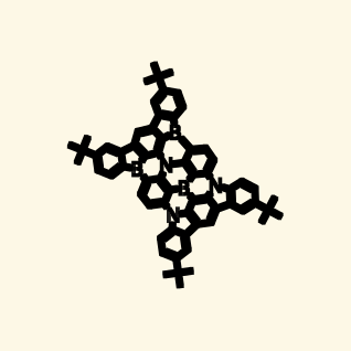 CC(C)(C)c1ccc2c(c1)-c1cc3c4c5c1B2c1ccc2c6c1N5c1c(ccc5c1B6c1c6c(cc7c8cc(C(C)(C)C)ccc8n-5c17)c1cc(C(C)(C)C)ccc1n6-2)B4c1ccc(C(C)(C)C)cc1-3